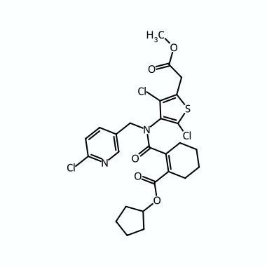 COC(=O)Cc1sc(Cl)c(N(Cc2ccc(Cl)nc2)C(=O)C2=C(C(=O)OC3CCCC3)CCCC2)c1Cl